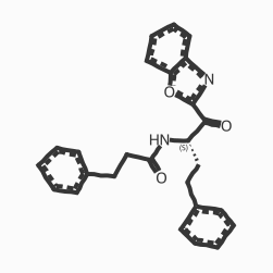 O=C(CCc1ccccc1)N[C@@H](CCc1ccccc1)C(=O)c1nc2ccccc2o1